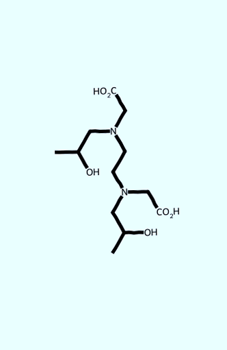 CC(O)CN(CCN(CC(=O)O)CC(C)O)CC(=O)O